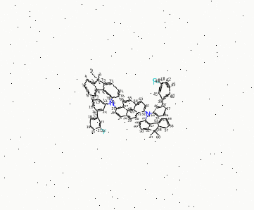 CC1(C)c2ccccc2-c2c(N(c3cccc(-c4cccc(F)c4)c3)c3ccc4ccc5c(N(c6cccc(-c7cccc(F)c7)c6)c6cccc7c6-c6ccccc6C7(C)C)ccc6ccc3c4c65)cccc21